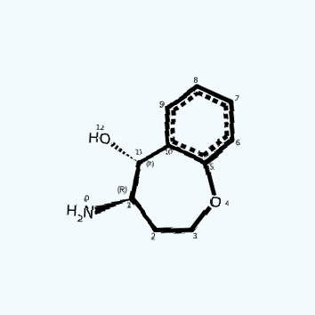 N[C@@H]1CCOc2ccccc2[C@H]1O